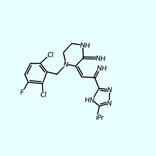 CC(C)c1nnc(C(=N)/C=C2\C(=N)NCCN2Cc2c(Cl)ccc(F)c2Cl)[nH]1